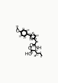 CC[C@@H](C)[C@H](NC(=O)Cc1csc(-c2ccc(OC)cc2)n1)C(=O)O